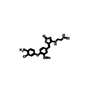 CCNCCNC1=NC(=O)S/C1=C\c1ccc(Oc2ccc(N)c(Cl)c2)c(OC)c1